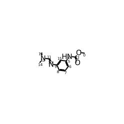 COC(=O)Nc1cccc(N=CN(C)C)c1